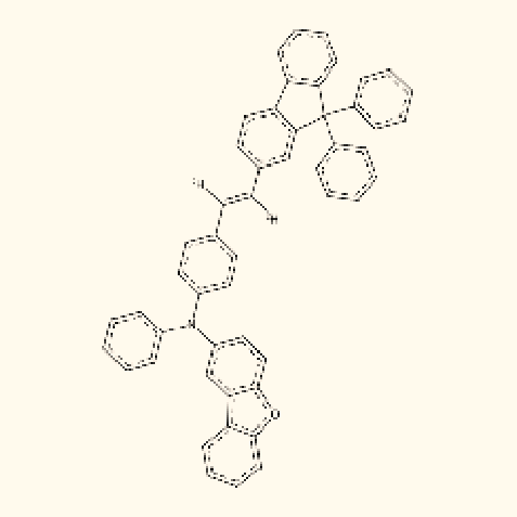 [2H]/C(=C(/[2H])c1ccc2c(c1)C(c1ccccc1)(c1ccccc1)c1ccccc1-2)c1ccc(N(c2ccccc2)c2ccc3oc4ccccc4c3c2)cc1